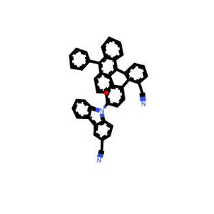 N#Cc1ccc2c(c1)c1ccccc1n2-c1ccc(-c2c(C#N)cccc2-c2c3ccccc3c(-c3ccccc3)c3ccccc23)cc1